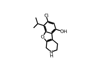 CC(C)c1c(Cl)cc(O)c2c3c(oc12)CNCC3